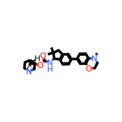 CN1CCOc2cc(-c3ccc4c(c3)CC(C)(C)C4NC(=O)O[C@@H]3CN4CCC3CC4)ccc21